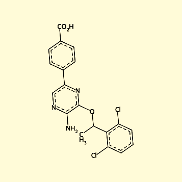 CC(Oc1nc(-c2ccc(C(=O)O)cc2)cnc1N)c1c(Cl)cccc1Cl